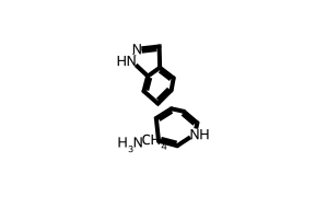 C.C1=CC=CNC=C1.N.c1ccc2[nH]ncc2c1